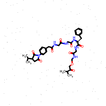 CC(C)C(=O)COCNC(=O)CNC(=O)[C@H](Cc1ccccc1)NC(=O)CNC(=O)CNC(=O)Cc1ccc(N2C(=O)CC(C(C)C)C2=O)cc1